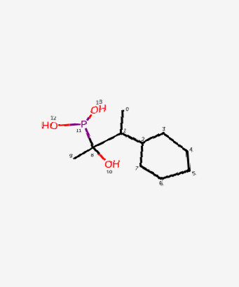 CC(C1CCCCC1)C(C)(O)P(O)O